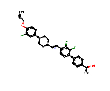 C=CCOc1ccc(C2CCC(/C=C/c3ccc(-c4ccc(C(C)O)cc4)c(F)c3F)CC2)cc1F